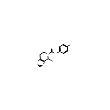 CC(C)C1c2nc[nH]c2CCN1C(=O)Oc1ccc([N+](=O)[O-])cc1